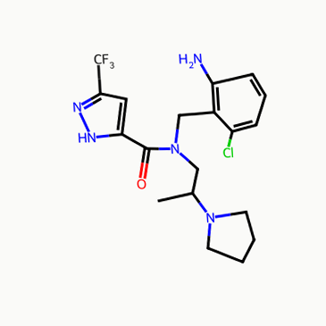 CC(CN(Cc1c(N)cccc1Cl)C(=O)c1cc(C(F)(F)F)n[nH]1)N1CCCC1